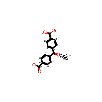 O=C([O-])c1ccc(C(=O)c2ccc(C(=O)[O-])cc2)cc1.[Ag+].[Ag+]